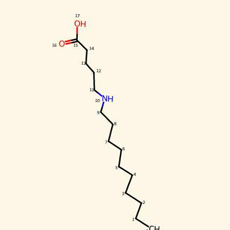 CCCCCCCCCCNCCCCC(=O)O